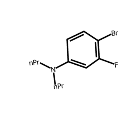 CCCN(CCC)c1ccc(Br)c(F)c1